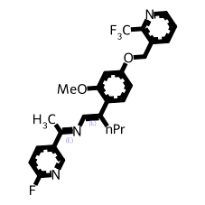 CCC/C(=C\N=C(/C)c1ccc(F)nc1)c1ccc(OCc2cccnc2C(F)(F)F)cc1OC